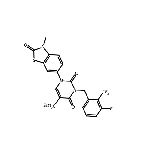 CCOC(=O)c1cn(-c2ccc3c(c2)sc(=O)n3C)c(=O)n(Cc2cccc(F)c2C(F)(F)F)c1=O